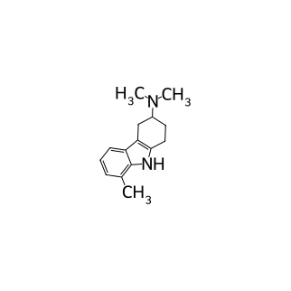 Cc1cccc2c3c([nH]c12)CCC(N(C)C)C3